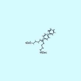 CCCCCCCCCCCCCCB(CCCCCCCCCCCCCC)c1ccc(-c2ccccn2)cc1